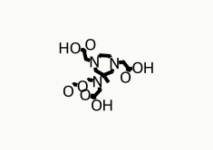 CC1(N(COC=O)CC(=O)O)CN(CC(=O)O)CCN(CC(=O)O)C1